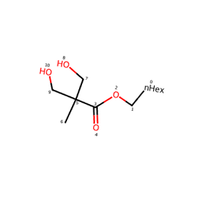 CCCCCCCOC(=O)C(C)(CO)CO